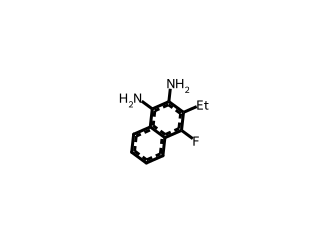 CCc1c(N)c(N)c2ccccc2c1F